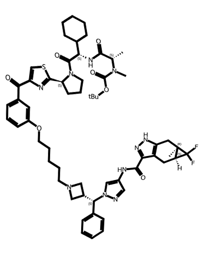 C[C@@H](C(=O)N[C@H](C(=O)N1CCC[C@H]1c1nc(C(=O)c2cccc(OCCCCCN3CC([C@@H](c4ccccc4)n4cc(NC(=O)c5n[nH]c6c5C[C@@H]5C(F)(F)[C@]5(C)C6)cn4)C3)c2)cs1)C1CCCCC1)N(C)C(=O)OC(C)(C)C